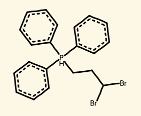 BrC(Br)CC[PH](c1ccccc1)(c1ccccc1)c1ccccc1